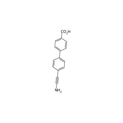 NC#Cc1ccc(-c2ccc(C(=O)O)cc2)cc1